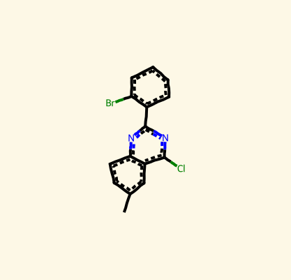 Cc1ccc2nc(-c3ccccc3Br)nc(Cl)c2c1